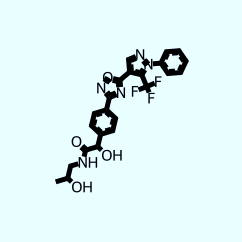 CC(O)CNC(=O)C(O)c1ccc(-c2noc(-c3cnn(-c4ccccc4)c3C(F)(F)F)n2)cc1